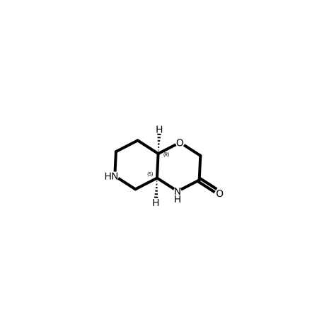 O=C1CO[C@@H]2CCNC[C@@H]2N1